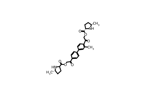 Cc1cc(-c2ccc(C(=O)COC(=O)C3CC[C@H](C)N3)cc2)ccc1C(=O)COC(=O)[C@@H]1CC[C@H](C)N1